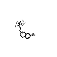 CCc1ccc2c(c1)CN(CCNS(C)(=O)=O)CC2